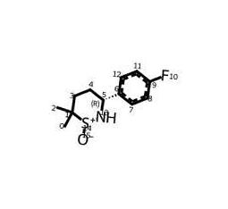 CC1(C)CC[C@H](c2ccc(F)cc2)N[S+]1[O-]